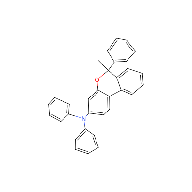 CC1(c2ccccc2)Oc2cc(N(c3ccccc3)c3ccccc3)ccc2-c2ccccc21